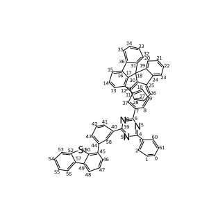 c1ccc(-c2nc(-c3cccc(-c4cccc5c4C4(c6ccccc6-c6ccccc64)c4ccccc4-5)c3)nc(-c3cccc(-c4cccc5c4sc4ccccc45)c3)n2)cc1